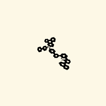 c1ccc(-c2ccc(N(c3ccc(-c4cccc(-c5cccc6c5sc5c(-c7cccc8ccccc78)cccc56)c4)cc3)c3ccc4c5ccccc5c5ccccc5c4c3)cc2)cc1